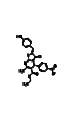 CCOC(=O)C1=C(C)N=c2sc(=Cc3ccc(O)cc3)c(=O)n2C1c1ccc([N+](=O)[O-])cc1